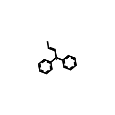 CC=C[C](c1ccccc1)c1ccccc1